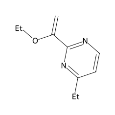 C=C(OCC)c1nccc(CC)n1